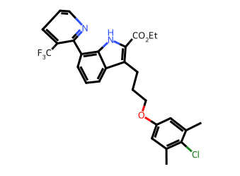 CCOC(=O)c1[nH]c2c(-c3ncccc3C(F)(F)F)cccc2c1CCCOc1cc(C)c(Cl)c(C)c1